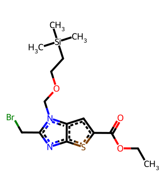 CCOC(=O)c1cc2c(nc(CBr)n2COCC[Si](C)(C)C)s1